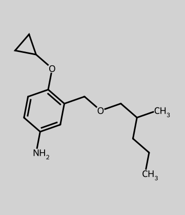 CCCC(C)COCc1cc(N)ccc1OC1CC1